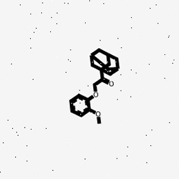 COc1ccccc1OCC(=O)C12CC3CC(CC(C3)C1)C2